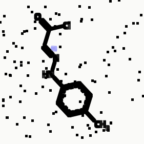 Cc1ccc(N/N=C/C(=O)Cl)cc1